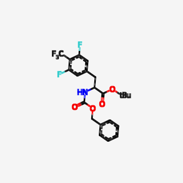 CC(C)(C)OC(=O)C(Cc1cc(F)c(C(F)(F)F)c(F)c1)NC(=O)OCc1ccccc1